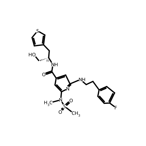 CN(c1cc(C(=O)N[C@H](CO)Cc2ccsc2)cc(NCCc2ccc(F)cc2)n1)S(C)(=O)=O